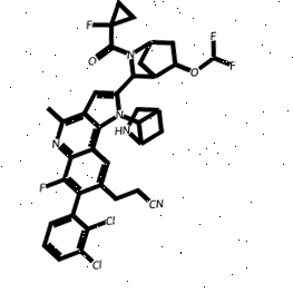 Cc1nc2c(F)c(-c3cccc(Cl)c3Cl)c(CCC#N)cc2c2c1cc(C1C3CC(CC3OC(F)F)N1C(=O)C1(F)CC1)n2C1C2CNC1C2